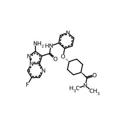 CN(C)C(=O)[C@H]1CC[C@H](Oc2ccncc2NC(=O)c2c(N)nn3cc(F)cnc23)CC1